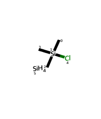 C[Si](C)(C)Cl.[SiH4]